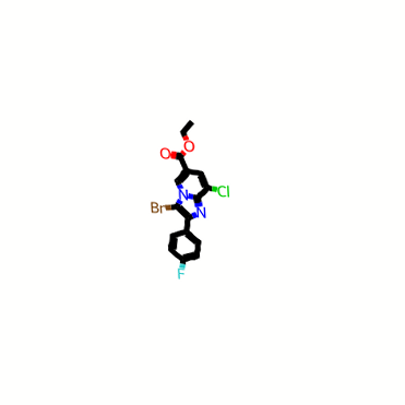 CCOC(=O)c1cc(Cl)c2nc(-c3ccc(F)cc3)c(Br)n2c1